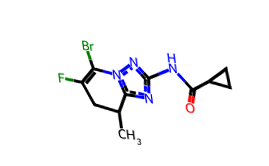 CC1CC(F)=C(Br)n2nc(NC(=O)C3CC3)nc21